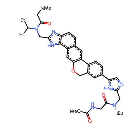 CCC(CC)N(Cc1nc2ccc3cc4c(cc3c2[nH]1)OCc1cc(-c2cnc(CN(C(=O)CNC(=O)OC)[C@@H](C)CC)[nH]2)ccc1-4)C(=O)CNC